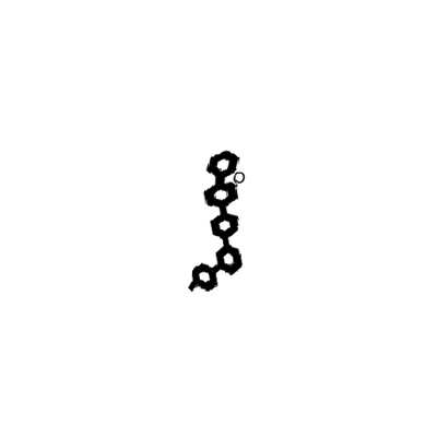 Cc1ccc(-c2cccc(-c3ccc(-c4ccc5c(c4)oc4ccccc45)cc3)c2)cc1